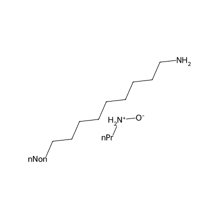 CCCCCCCCCCCCCCCCCCN.CCC[NH2+][O-]